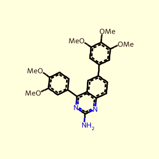 COc1ccc(-c2nc(N)nc3ccc(-c4cc(OC)c(OC)c(OC)c4)cc23)cc1OC